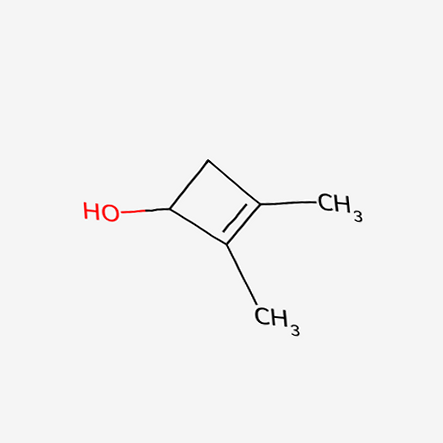 CC1=C(C)C(O)C1